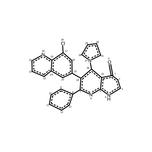 O=c1cc[nH]c2nc(-c3ccccc3)c(-c3cc(Cl)c4ncccc4c3)c(-n3cccc3)c12